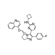 Fc1ccc(-c2nc3n(c2-c2ccnc(NC4CCC4)n2)[C@H](COc2ccnc4ccccc24)CC3)cc1